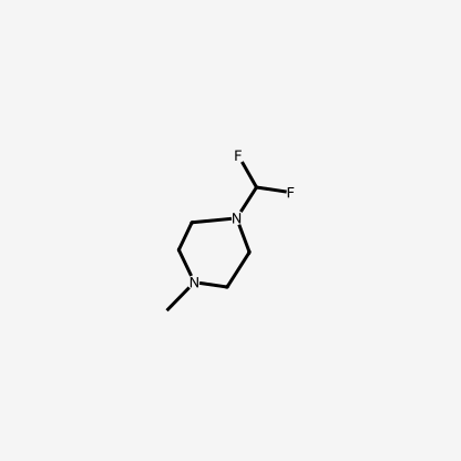 CN1CCN(C(F)F)CC1